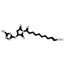 CCCCCCCCC=CCCCCCCCC(=O)N1C(=O)CC(Sc2nnc(S)s2)C1=O